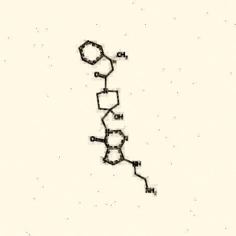 C[C@H](CC(=O)N1CCC(O)(Cn2cnc3c(NCCN)csc3c2=O)CC1)c1ccccc1